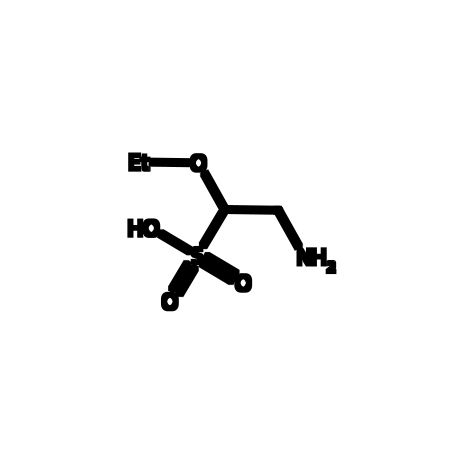 CCOC(CN)S(=O)(=O)O